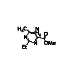 CCc1nc(C)c(N)c(C(=O)OC)n1